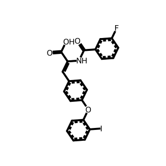 O=C(O)C(=Cc1ccc(Oc2ccccc2I)cc1)NC(=O)c1cccc(F)c1